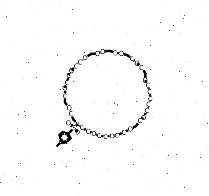 Cc1ccc(S(=O)(=O)N2CCOCCOCCOCCOCCOCCOCCOCCOCCOCCOCCOCCOCCOCC2)cc1